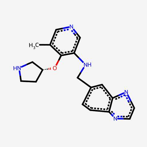 Cc1cncc(NCc2ccc3nccnc3c2)c1O[C@@H]1CCNC1